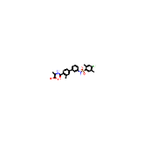 Cc1cc(S(=O)(=O)Nc2cccc(-c3ccc(C(=O)NC(C)C(=O)O)c(C)c3)c2)c(C)cc1Cl